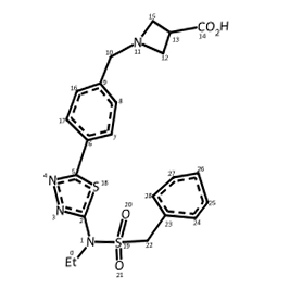 CCN(c1nnc(-c2ccc(CN3CC(C(=O)O)C3)cc2)s1)S(=O)(=O)Cc1ccccc1